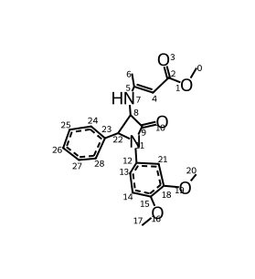 COC(=O)C=C(C)NC1C(=O)N(c2ccc(OC)c(OC)c2)C1c1ccccc1